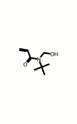 C=CC(=O)N(CO)C(C)(C)C